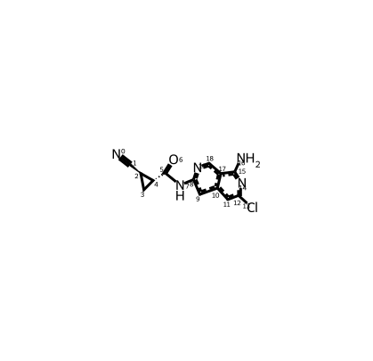 N#C[C@@H]1C[C@H]1C(=O)Nc1cc2cc(Cl)nc(N)c2cn1